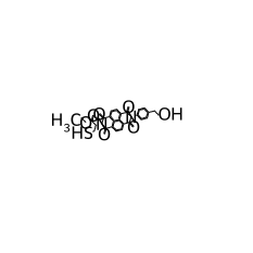 CCOC(=O)C(CS)N1C(=O)c2ccc3c4c(ccc(c24)C1=O)C(=O)N(c1ccc(CCO)cc1)C3=O